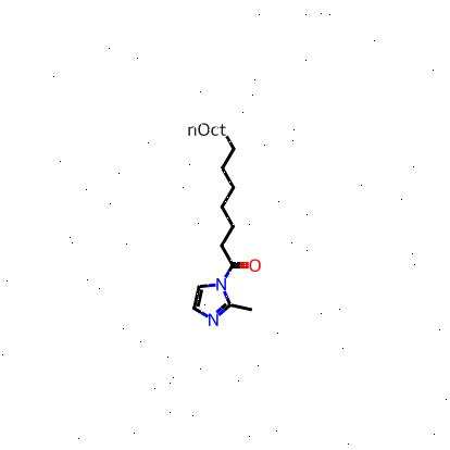 CCCCCCCCCCCCCCC(=O)n1ccnc1C